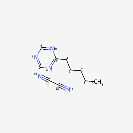 CCCCCc1ncncn1.N#CC#N